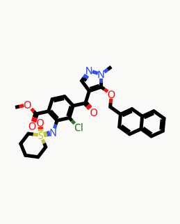 COC(=O)c1ccc(C(=O)c2cnn(C)c2OCc2ccc3ccccc3c2)c(Cl)c1N=S1(=O)CCCCC1